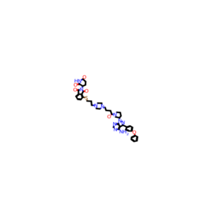 Nc1ncnc2c1c(-c1ccc(Oc3ccccc3)cc1)nn2C1CCCN(C(=O)CCCN2CCN(CCCSc3cccc4c3C(=O)N(C3CCC(=O)NC3=O)C4=O)CC2)C1